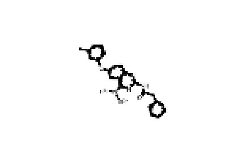 CCCN(CCC)c1nc(NC(=O)Cc2ccccc2)nc2ccc(Oc3cccc(C)c3)cc12